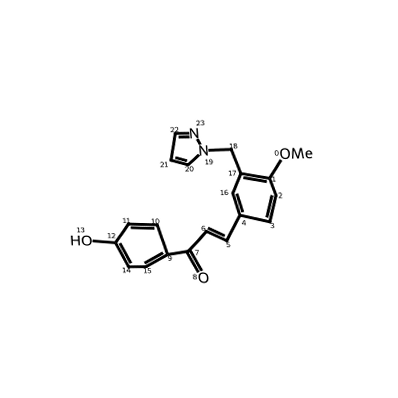 COc1ccc(/C=C/C(=O)c2ccc(O)cc2)cc1Cn1cccn1